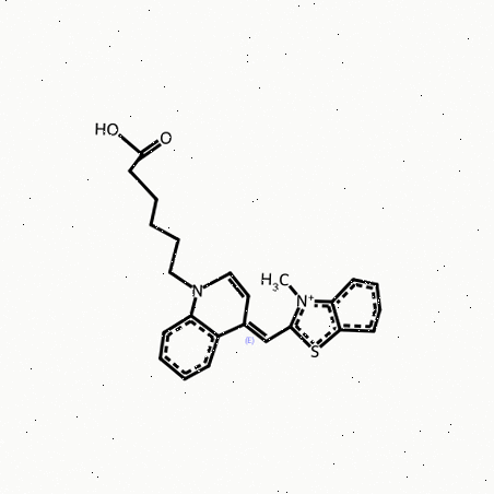 C[n+]1c(/C=C2\C=CN(CCCCCC(=O)O)c3ccccc32)sc2ccccc21